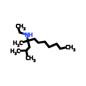 CCCCCCCC(C)(CC(C)C)NCC